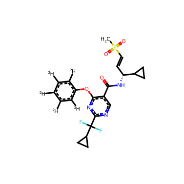 [2H]c1c([2H])c([2H])c(Oc2nc(C(F)(F)C3CC3)ncc2C(=O)N[C@H](/C=C/S(C)(=O)=O)C2CC2)c([2H])c1[2H]